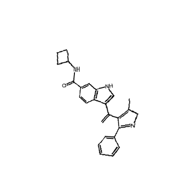 C=C(C1=C(C)CN=C1c1ccccc1)c1c[nH]c2cc(C(=O)NC3CCC3)ccc12